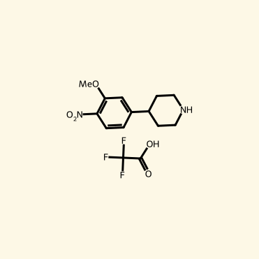 COc1cc(C2CCNCC2)ccc1[N+](=O)[O-].O=C(O)C(F)(F)F